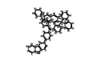 C1=CC2Oc3ccc(-c4ccc(N(c5ccc(-c6ccccc6)cc5)c5ccc6c(c5)C5(c7ccccc7-6)c6ccccc6-c6cc7ccccc7cc65)cc4)cc3C2C=C1